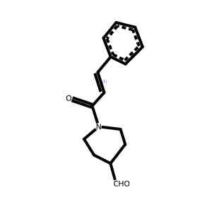 O=CC1CCN(C(=O)/C=C/c2ccccc2)CC1